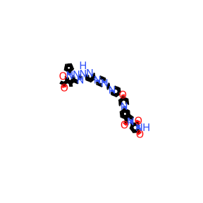 CC(=O)c1c(C)c2cnc(Nc3ccc(N4CCN(CCN5CCC(OC6CCN(c7ccc8c(c7)CN(C7CCC(=O)NC7=O)C8=O)CC6)CC5)CC4)cn3)nc2n(C2CCCC2)c1=O